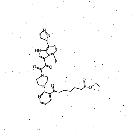 CCOC(=O)CCCCCC(=O)c1cccnc1N1CCN(C(=O)C(=O)c2c[nH]c3c(-n4ccnn4)ncc(F)c23)CC1